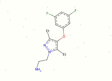 CCc1nn(CCN)c(CC)c1Oc1cc(F)cc(F)c1